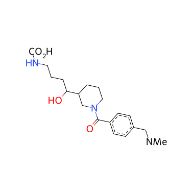 CNCc1ccc(C(=O)N2CCCC(C(O)CCCNC(=O)O)C2)cc1